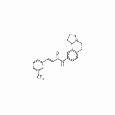 O=C(C=Cc1cccc(C(F)(F)F)c1)Nc1ccc2c(c1)C1CCCN1CC2